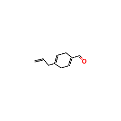 C=CCC1=CCC(C=O)=CC1